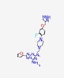 CN(CCN1CCN(c2ccc(OCc3cn[nH]n3)cc2F)CC1)c1nc(N)n2nc(-c3ccco3)nc2n1